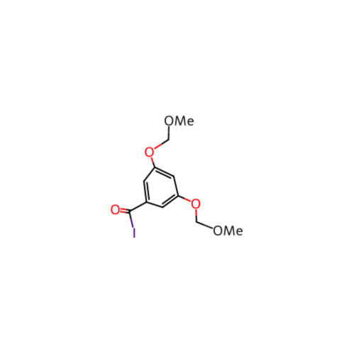 COCOc1cc(OCOC)cc(C(=O)I)c1